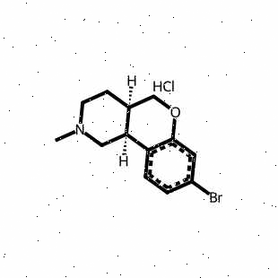 CN1CC[C@H]2COc3cc(Br)ccc3[C@H]2C1.Cl